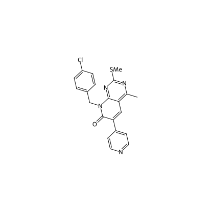 CSc1nc(C)c2cc(-c3ccncc3)c(=O)n(Cc3ccc(Cl)cc3)c2n1